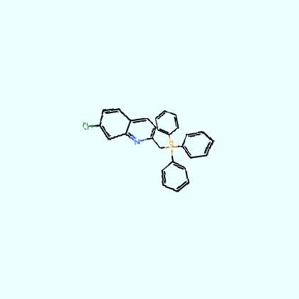 Clc1ccc2ccc(C[PH](c3ccccc3)(c3ccccc3)c3ccccc3)nc2c1